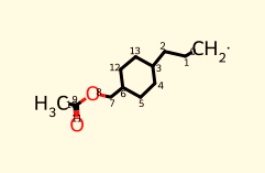 [CH2]CCC1CCC(COC(C)=O)CC1